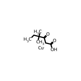 CCC(C)(C)C(=O)CC(=O)O.[Cu]